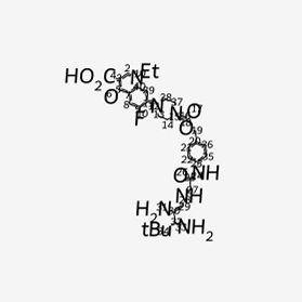 CCn1cc(C(=O)O)c(=O)c2cc(F)c(N3CCN(C(=O)OCc4ccc(NC(=O)CN/C=C(\N)[C@@H](N)C(C)(C)C)cc4)CC3)cc21